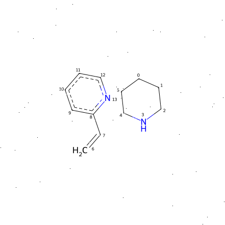 C1CCNCC1.C=Cc1ccccn1